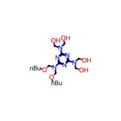 CCCCOCN(COCCCC)c1nc(N(CO)CO)nc(N(CO)CO)n1